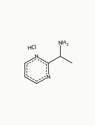 CC(N)c1ncccn1.Cl